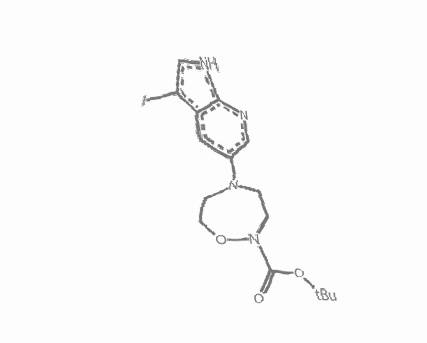 CC(C)(C)OC(=O)N1CCN(c2cnc3[nH]cc(I)c3c2)CCO1